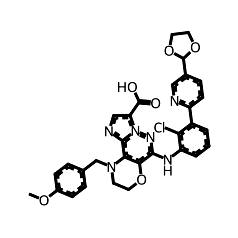 COc1ccc(CN2CCOc3c(Nc4cccc(-c5ccc(C6OCCO6)cn5)c4Cl)nn4c(C(=O)O)cnc4c32)cc1